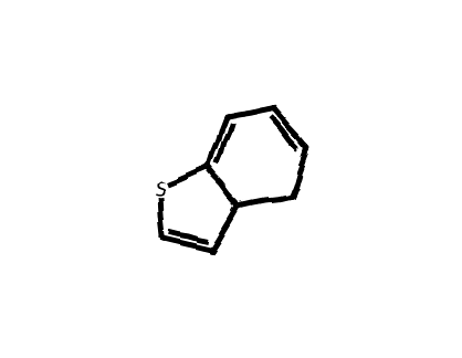 C1=CCC2C=CSC2=C1